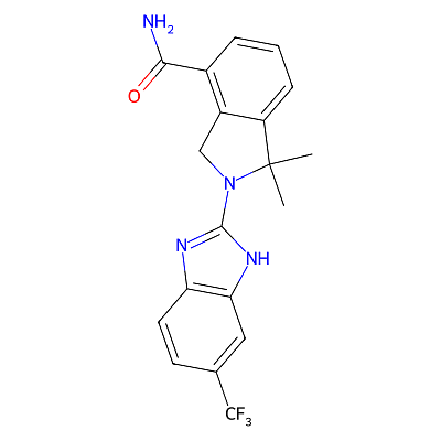 CC1(C)c2cccc(C(N)=O)c2CN1c1nc2ccc(C(F)(F)F)cc2[nH]1